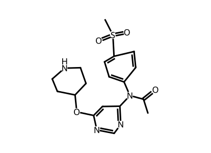 CC(=O)N(c1ccc(S(C)(=O)=O)cc1)c1cc(OC2CCNCC2)ncn1